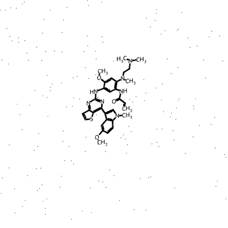 C=CC(=O)Nc1cc(Nc2nc(-c3cn(C)c4ccc(OC)cc34)c3sccc3n2)c(OC)cc1N(C)CCN(C)C